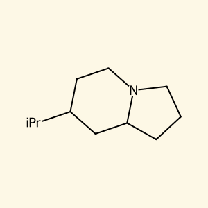 CC(C)C1CCN2CCCC2C1